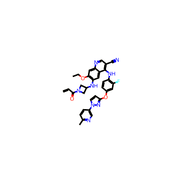 C=CC(=O)N1CC(Nc2cc3c(Nc4ccc(Oc5ccn(-c6ccc(C)nc6)n5)cc4F)c(C#N)cnc3cc2OCC)C1